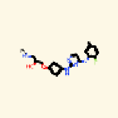 Cc1ccc(F)c(Nc2ccnc(Nc3ccc(OCC(O)CNC(C)C)cc3)n2)c1